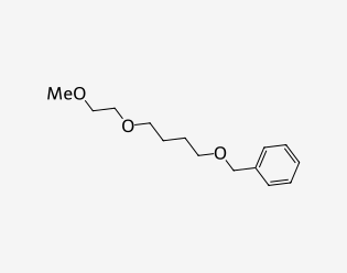 COCCOCCCCOCc1ccccc1